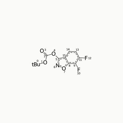 CC(C)(C)OC(=O)Oc1noc2c(F)c(F)ccc12